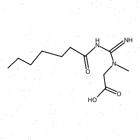 CCCCCCC(=O)NC(=N)N(C)CC(=O)O